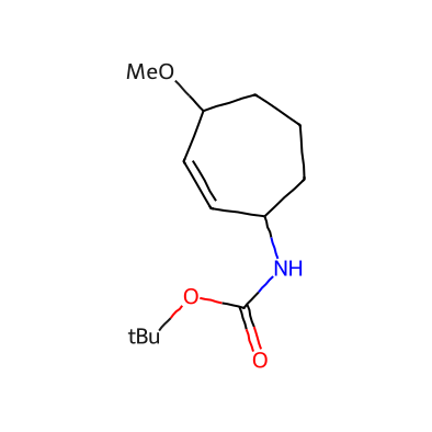 COC1C=CC(NC(=O)OC(C)(C)C)CCC1